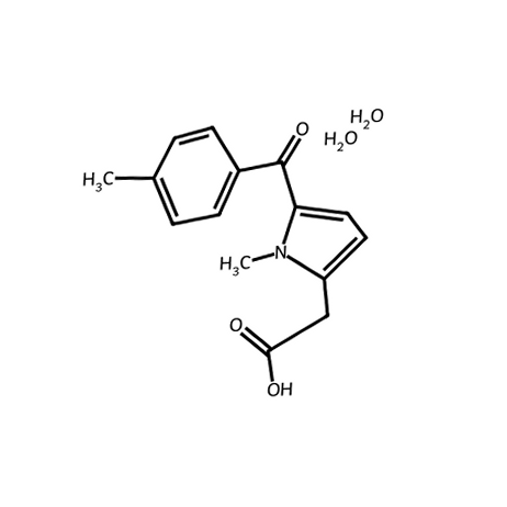 Cc1ccc(C(=O)c2ccc(CC(=O)O)n2C)cc1.O.O